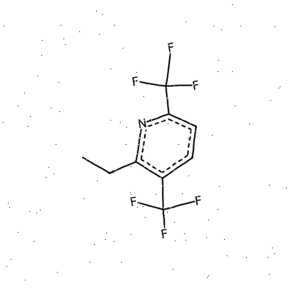 CCc1nc(C(F)(F)F)ccc1C(F)(F)F